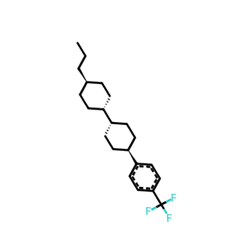 CCC[C@H]1CC[C@H]([C@H]2CC[C@H](c3ccc(C(F)(F)F)cc3)CC2)CC1